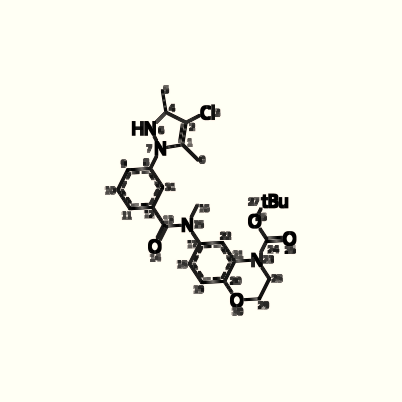 CC1=C(Cl)C(C)NN1c1cccc(C(=O)N(C)c2ccc3c(c2)N(C(=O)OC(C)(C)C)CCO3)c1